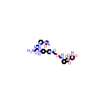 CN1CCN([C@@H]2CCCN(c3cnc(C(N)=O)c(Nc4ccc(C5CCN(C(=O)CCOCCNc6cccc7c6C(=O)N(C6CCC(=O)NC6=O)C7=O)CC5)cc4)n3)C2)C1=O